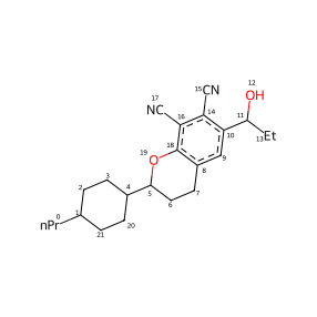 CCCC1CCC(C2CCc3cc(C(O)CC)c(C#N)c(C#N)c3O2)CC1